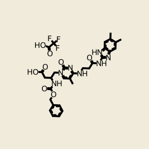 Cc1cc2nc(NC(=O)CCNc3nc(=O)n(CC(CC(=O)O)NC(=O)OCc4ccccc4)cc3C)[nH]c2cc1C.O=C(O)C(F)(F)F